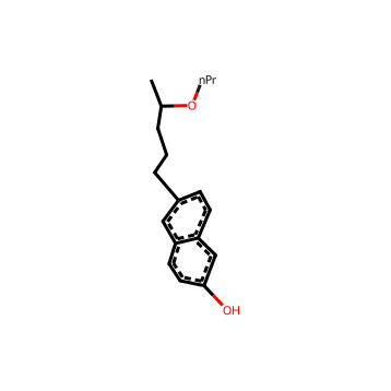 CCCOC(C)CCCc1ccc2cc(O)ccc2c1